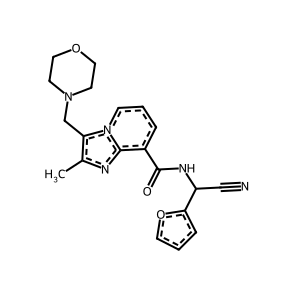 Cc1nc2c(C(=O)NC(C#N)c3ccco3)cccn2c1CN1CCOCC1